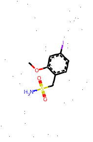 COc1cc(I)ccc1CS(N)(=O)=O